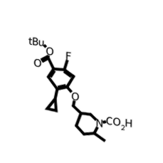 CC1CCC(COc2cc(F)c(C(=O)OC(C)(C)C)cc2C2CC2)CN1C(=O)O